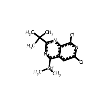 C[SH](C)c1nc(C(C)(C)C)nc2c(Cl)nc(Cl)cc12